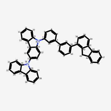 c1cc(-c2cccc(-n3c4ccccc4c4cc(-n5c6ccccc6c6ccccc65)ccc43)c2)cc(-c2cccc3c2Cc2ccccc2-3)c1